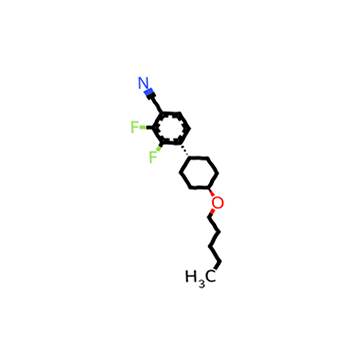 CCCCCO[C@H]1CC[C@H](c2ccc(C#N)c(F)c2F)CC1